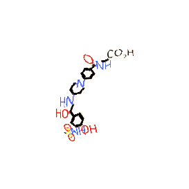 CS(=O)(=O)Nc1cc(C(O)CNC2CCN(c3ccc(C(=O)NCCC(=O)O)cc3)CC2)ccc1O